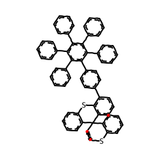 c1ccc(-c2c(-c3ccccc3)c(-c3ccccc3)c(-c3ccc(-c4cccc5c4Sc4ccccc4C54c5ccccc5Sc5ccccc54)cc3)c(-c3ccccc3)c2-c2ccccc2)cc1